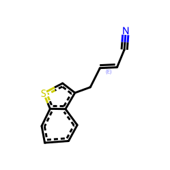 N#C/C=C/Cc1csc2ccccc12